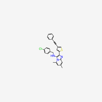 Cc1cc(C)n2c(NCc3ccc(Cl)cc3)c(-c3cc(C#Cc4ccccc4)cs3)nc2c1